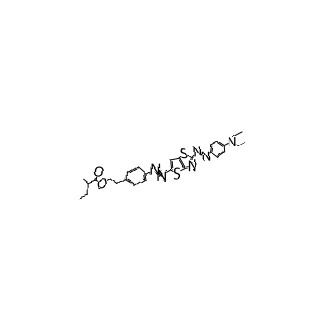 CCC(C)C(=O)OCCc1ccc(N=Nc2cc3sc(N=Nc4ccc(N(CC)CC)cc4)nc3s2)cc1